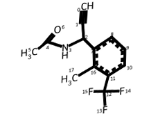 C#CC(NC(C)=O)c1cccc(C(F)(F)F)c1C